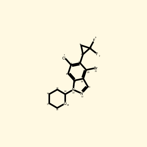 FC1(F)CC1c1c(Cl)cc2c(cnn2C2CCCCO2)c1Br